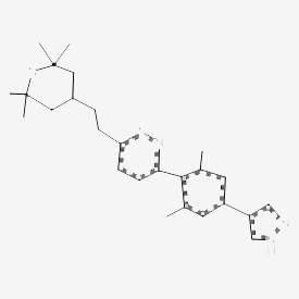 CC1(C)CC(CCc2ccc(-c3c(O)cc(-c4cn[nH]c4)cc3F)nn2)CC(C)(C)N1